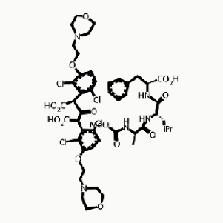 COC(=O)N[C@H](C)C(=O)N[C@@H](CC(C)C)C(=O)N[C@@H](Cc1ccccc1)C(=O)O.O=C(O)C(C(=O)C(C(=O)O)c1c(Cl)ccc(OCCN2CCOCC2)c1Cl)c1c(Cl)ccc(OCCN2CCOCC2)c1Cl